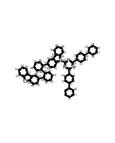 c1ccc(-c2ccc(-c3nc(-c4ccc(-c5ccccc5)cc4)nc(-n4c5ccccc5c5cc(-c6ccccc6-c6ccccc6-c6ccc7oc8ccccc8c7c6)ccc54)n3)cc2)cc1